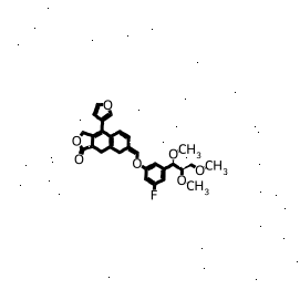 COC[C@@H](OC)[C@@H](OC)c1cc(F)cc(OC=C2C=CC3=C(C2)CC2C(=O)OCC2=C3c2ccoc2)c1